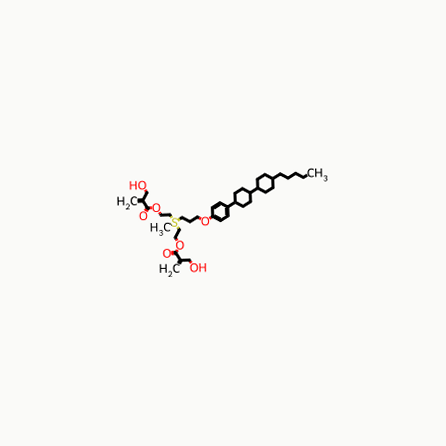 C=C(CO)C(=O)OCCS(C)(CCCOc1ccc(C2CCC(C3CCC(CCCCC)CC3)CC2)cc1)CCOC(=O)C(=C)CO